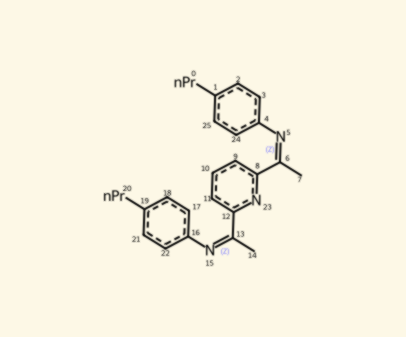 CCCc1ccc(/N=C(/C)c2cccc(/C(C)=N\c3ccc(CCC)cc3)n2)cc1